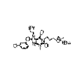 CC(C)CCn1c(Oc2cccc(Cl)c2)nc2c1c(=O)n(CCCO[Si](C)(C)C(C)(C)C)c(=O)n2C